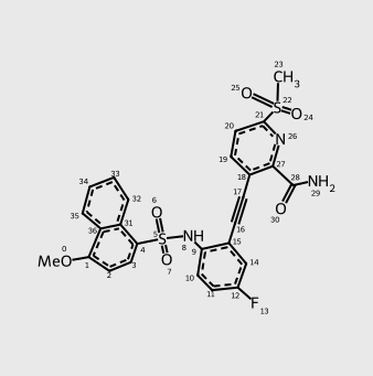 COc1ccc(S(=O)(=O)Nc2ccc(F)cc2C#Cc2ccc(S(C)(=O)=O)nc2C(N)=O)c2ccccc12